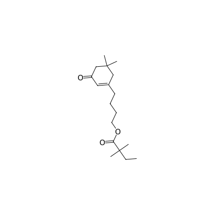 CCC(C)(C)C(=O)OCCCCC1=CC(=O)CC(C)(C)C1